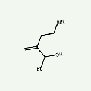 C=C(CCCCCC)C(O)CC